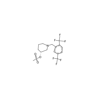 CS(=O)(=O)O[C@@H]1CCCN(Cc2cc(C(F)(F)F)ccc2C(F)(F)F)C1